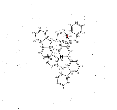 c1ccc(-n2c3ccccc3c3cccc(-c4cc(-c5cc6ccccc6s5)cc(-c5cccc6c7ccccc7n(-c7ccccc7)c56)n4)c32)cc1